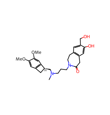 COc1cc2c(cc1OC)[C@@H](CN(C)CCCN1CCc3cc(CO)c(O)cc3CC1=O)C2